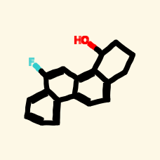 OC1CCCc2ccc3c(cc(F)c4ccccc43)c21